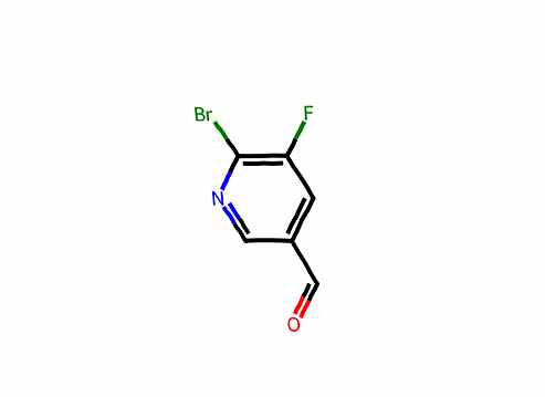 O=Cc1cnc(Br)c(F)c1